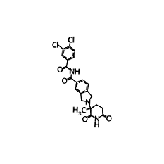 CC1(N2Cc3ccc(C(=O)NC(=O)c4ccc(Cl)c(Cl)c4)cc3C2)CCC(=O)NC1=O